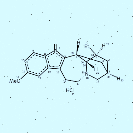 CC[C@H]1C[C@@H]2C[C@H]3c4[nH]c5ccc(OC)cc5c4CC[N@@](C2)[C@@H]13.Cl